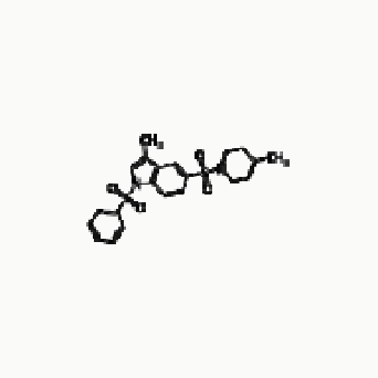 Cc1cn(S(=O)(=O)c2ccccc2)c2ccc(S(=O)(=O)N3CCC(C)CC3)cc12